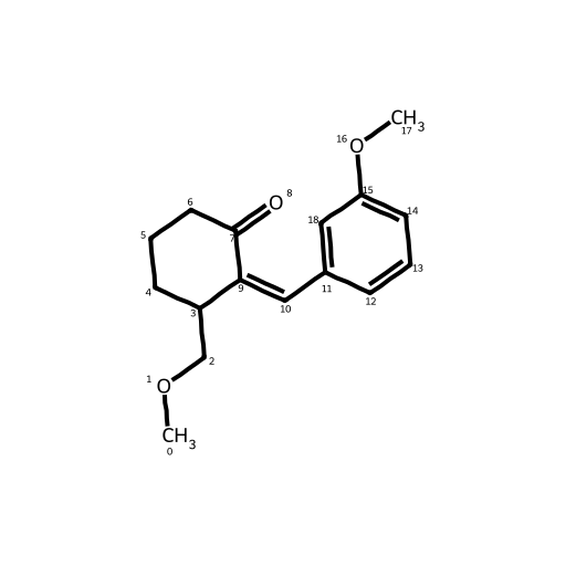 COCC1CCCC(=O)C1=Cc1cccc(OC)c1